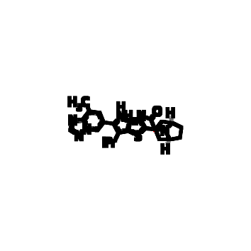 Cc1cc(-c2[nH]c3cc([C@H]4C[C@H]5CC[C@@H](C4)N5CC(N)=O)sc3c2C(C)C)cn2ncnc12